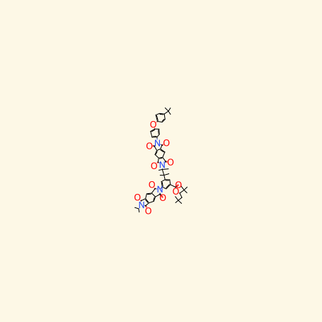 CC(C)n1c(=O)c2cc3c(=O)n(-c4cc(C(=O)OC(CC(C)(C)C)C(C)(C)C)cc(C(C)(C)C(C)(C)n5c(=O)c6cc7c(=O)n(-c8ccc(Oc9ccc(C(C)(C)C)cc9)cc8)c(=O)c7cc6c5=O)c4)c(=O)c3cc2c1=O